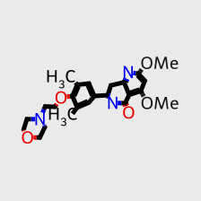 COc1cc(OC)c2c(n1)CC(c1cc(C)c(OCCN3CCOCC3)c(C)c1)=NC2=O